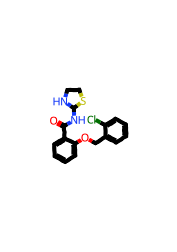 O=C(NC1NCCS1)c1ccccc1OCc1ccccc1Cl